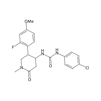 COc1ccc(C2CN(C)C(=O)CC2NC(=O)Nc2ccc(Cl)cc2)c(F)c1